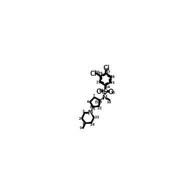 CC1CCN([C@@H]2CC[C@H](N(C)S(=O)(=O)c3ccc(Cl)c(Cl)c3)C2)CC1